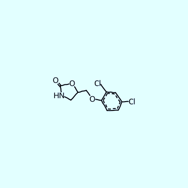 O=C1NCC(COc2ccc(Cl)cc2Cl)O1